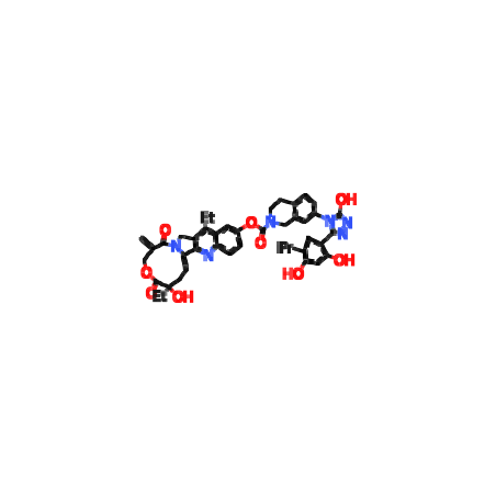 C=C1COC(=O)C(O)(CC)C/C=C2/c3nc4ccc(OC(=O)N5CCc6ccc(-n7c(O)nnc7-c7cc(C(C)C)c(O)cc7O)cc6C5)cc4c(CC)c3CN2C1=O